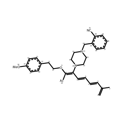 C=C(C)/C=C/C=C/C(=C(/OCCc1ccc(OC)cc1)C(C)=O)N1CCN(Cc2ccccc2C#N)CC1